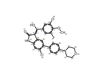 COc1c(F)cc(/C(O)=C2/C(=O)Nc3cc(Cl)c(-c4ccc(N5CCOCC5)cc4)cc32)cc1Cl